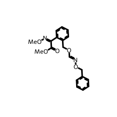 CO/N=C(\C(=O)OC)c1ccccc1CO/C=N/OCc1ccccc1